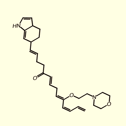 C=C/C=C\C(=C\C/C=C/C(=O)CC/C=C/C1C=C2NC=CC2CC1)OCCN1CCOCC1